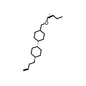 C=CCC[C@H]1CC[C@H](C2CCC(CO/C=C\CC)CC2)CC1